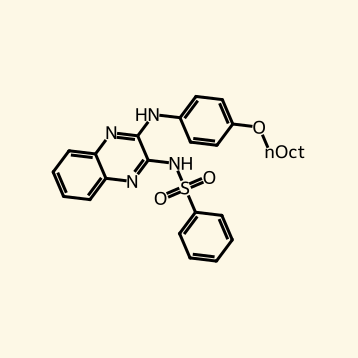 CCCCCCCCOc1ccc(Nc2nc3ccccc3nc2NS(=O)(=O)c2ccccc2)cc1